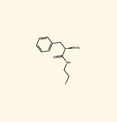 CC(=O)N[C@H](Cc1ccccc1)C(=O)NCCF